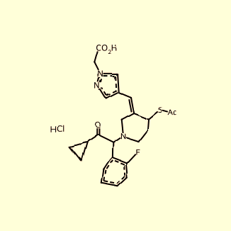 CC(=O)SC1CCN(C(C(=O)C2CC2)c2ccccc2F)CC1=Cc1cnn(CC(=O)O)c1.Cl